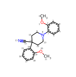 COc1ccccc1N1CCC(C#N)(c2ccccc2OC)CC1